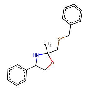 CC1(CSCc2ccccc2)NC(c2ccccc2)CO1